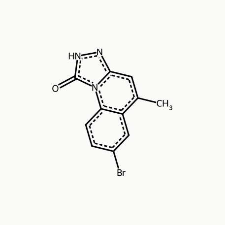 Cc1cc2n[nH]c(=O)n2c2ccc(Br)cc12